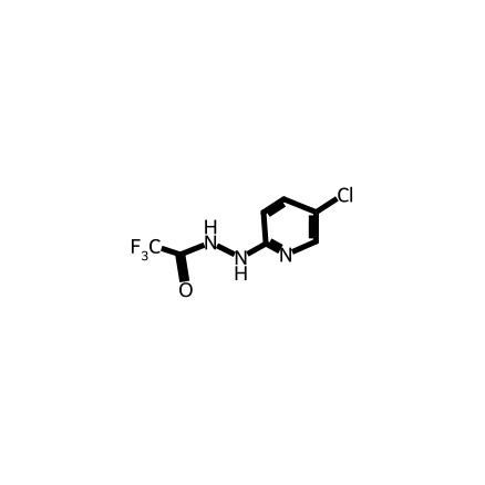 O=C(NNc1ccc(Cl)cn1)C(F)(F)F